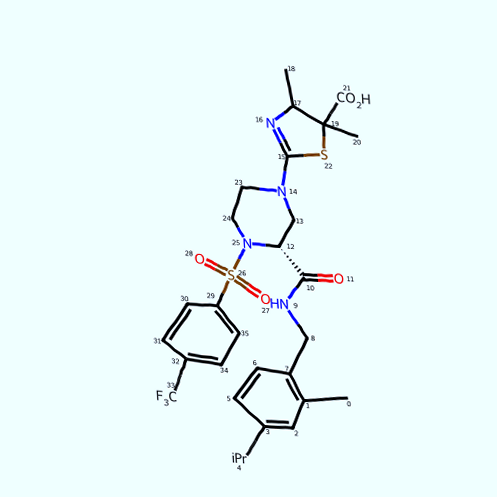 Cc1cc(C(C)C)ccc1CNC(=O)[C@H]1CN(C2=NC(C)C(C)(C(=O)O)S2)CCN1S(=O)(=O)c1ccc(C(F)(F)F)cc1